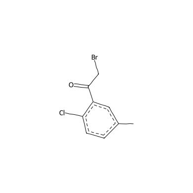 Cc1ccc(Cl)c(C(=O)CBr)c1